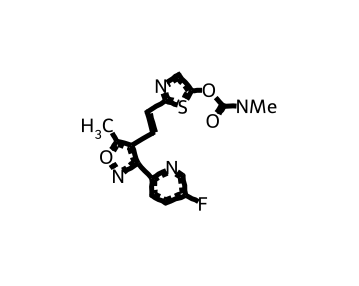 CNC(=O)Oc1cnc(/C=C/c2c(-c3ccc(F)cn3)noc2C)s1